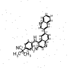 CC(C)(C#N)c1ccc(Nc2c(N)cnc3ccc(-c4cnc5ccccc5c4)cc23)cc1